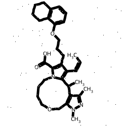 C/C=C\c1c(CCCOc2cccc3c2CCCC3)c(C(=O)O)n2c1C(C)c1c(C)nn(C)c1COCCCC2